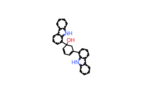 OC1(c2cccc3c2[nH]c2ccccc23)C=CC=C(c2cccc3c2[nH]c2ccccc23)C1